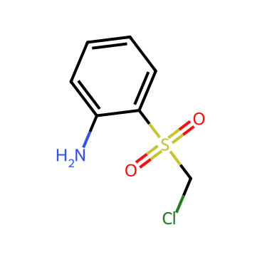 Nc1ccccc1S(=O)(=O)CCl